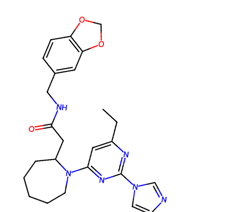 CCc1cc(N2CCCCCC2CC(=O)NCc2ccc3c(c2)OCO3)nc(-n2ccnc2)n1